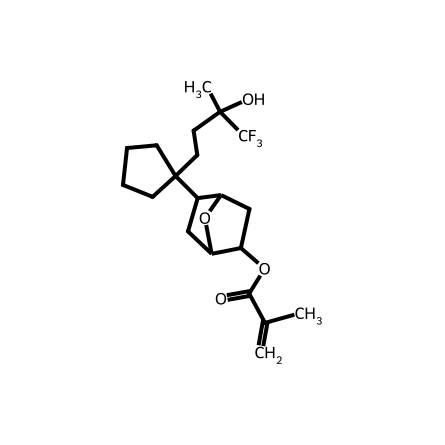 C=C(C)C(=O)OC1CC2OC1CC2C1(CCC(C)(O)C(F)(F)F)CCCC1